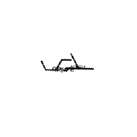 CCCCCCCC/C=C\CCCCCC[C@H](O)CN(CCCSSCCN1CCN(CCOC(=O)CCCCN(CC(O)CCCCCCCCCCCC)CC(O)CCCCCCCCCCCC)CC1)C[C@@H](O)CCCCCC/C=C\CCCCCCCC